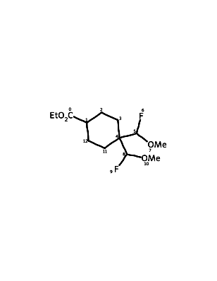 CCOC(=O)C1CCC(C(F)OC)(C(F)OC)CC1